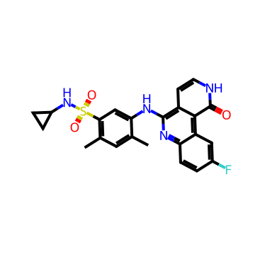 Cc1cc(C)c(S(=O)(=O)NC2CC2)cc1Nc1nc2ccc(F)cc2c2c(=O)[nH]ccc12